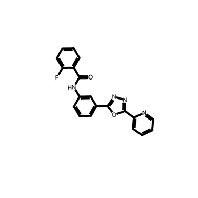 O=C(Nc1cccc(-c2nnc(-c3ccccn3)o2)c1)c1ccccc1F